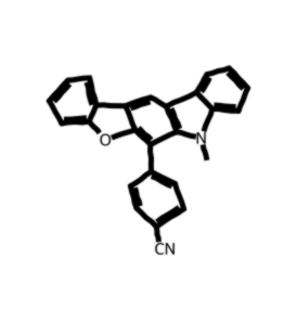 Cn1c2ccccc2c2cc3c(oc4ccccc43)c(-c3ccc(C#N)cc3)c21